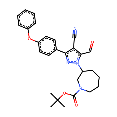 CC(C)(C)OC(=O)N1CCCCC(n2nc(-c3ccc(Oc4ccccc4)cc3)c(C#N)c2C=O)C1